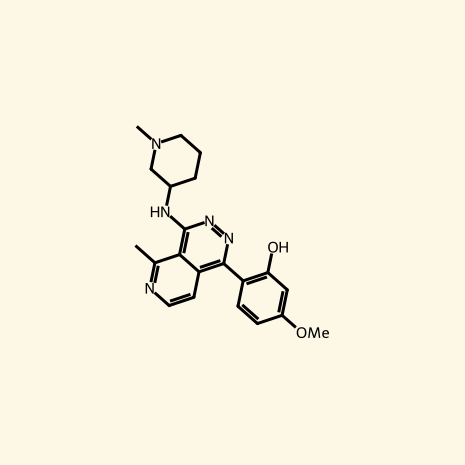 COc1ccc(-c2nnc(NC3CCCN(C)C3)c3c(C)nccc23)c(O)c1